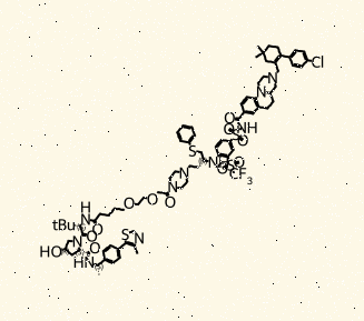 Cc1ncsc1-c1ccc([C@H](C)NC(=O)[C@@H]2C[C@@H](O)CN2C(=O)[C@@H](NC(=O)CCCCOCCOCC(=O)N2CCN(CC[C@H](CSc3ccccc3)Nc3ccc(S(=O)(=O)NC(=O)c4ccc5c(c4)CCC4CN(CC6=C(c7ccc(Cl)cc7)CCC(C)(C)C6)CCN54)cc3S(=O)(=O)C(F)(F)F)CC2)C(C)(C)C)cc1